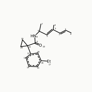 C/C=C/C(C)=C/C(C)NC(=O)C1(c2cccc(CC)c2)CC1